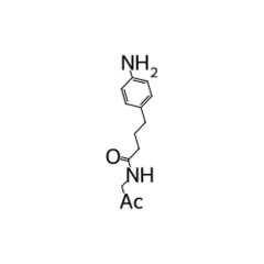 CC(=O)CNC(=O)CCCc1ccc(N)cc1